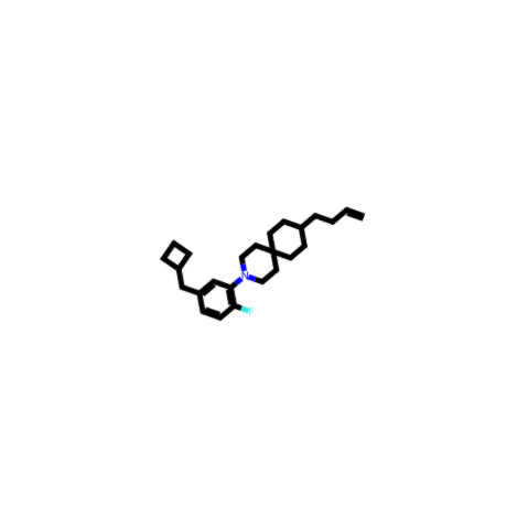 C=CCCC1CCC2(CC1)CCN(c1cc(CC3CCC3)ccc1F)CC2